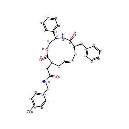 O=C(C[C@@H]1C/C=C/C[C@H](Cc2ccccc2)C(=O)N[C@H](c2ccccc2)COC1=O)NCc1ccc(Cl)cc1